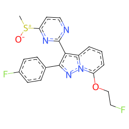 C[S+]([O-])c1ccnc(-c2c(-c3ccc(F)cc3)nn3c(OCCF)cccc23)n1